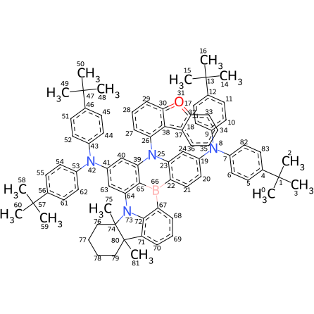 CC(C)(C)c1ccc(N(c2ccc(C(C)(C)C)cc2)c2ccc3c(c2)N(c2cccc4oc5ccccc5c24)c2cc(N(c4ccc(C(C)(C)C)cc4)c4ccc(C(C)(C)C)cc4)cc4c2B3c2cccc3c2N4C2(C)CCCCC32C)cc1